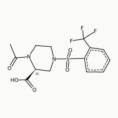 CC(=O)N1CCN(S(=O)(=O)c2ccccc2C(F)(F)F)C[C@H]1C(=O)O